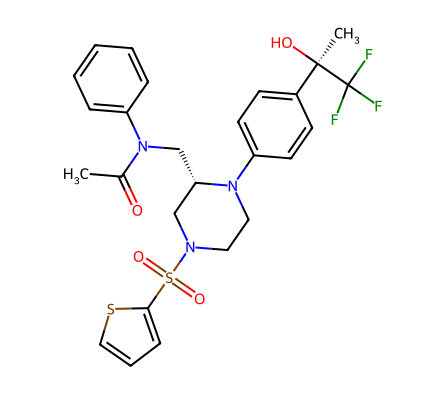 CC(=O)N(C[C@H]1CN(S(=O)(=O)c2cccs2)CCN1c1ccc([C@@](C)(O)C(F)(F)F)cc1)c1ccccc1